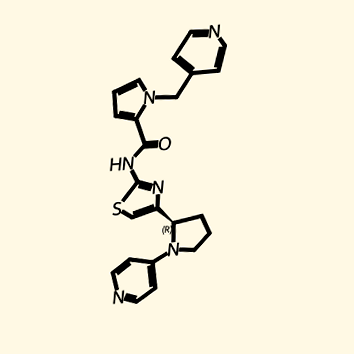 O=C(Nc1nc([C@H]2CCCN2c2ccncc2)cs1)c1cccn1Cc1ccncc1